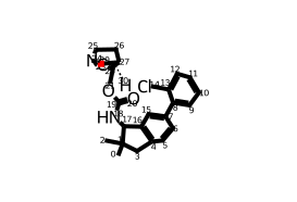 CC1(C)Cc2ccc(-c3ccccc3Cl)cc2C1NC(=O)O[C@H]1CN2CCC1CC2